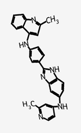 Cc1cc(Nc2ccc3[nH]c(-c4ccc(Nc5cc(C)nc6ccccc56)cc4)nc3c2)ccn1